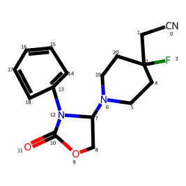 N#CCC1(F)CCN(C2COC(=O)N2c2ccccc2)CC1